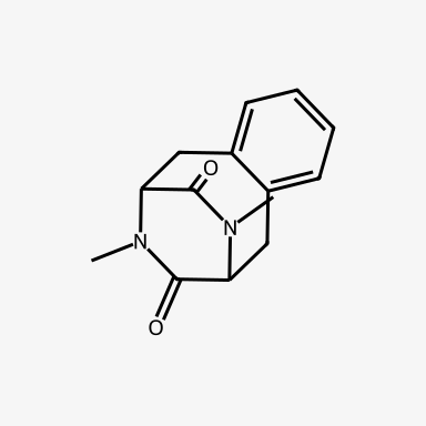 CN1C(=O)C2Cc3ccccc3CC1C(=O)N2C